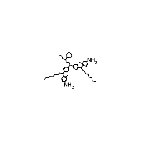 CCCCCCCCC(c1ccc(C(CCC(CCC)C2CCCCC2)c2ccc(C(CCCCCCCC)c3ccc(N)cc3C)cc2)cc1)c1ccc(N)cc1C